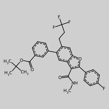 CNC(=O)c1c(-c2ccc(F)cc2)oc2cc(CCC(F)(F)F)c(-c3cccc(C(=O)OC(C)(C)C)c3)cc12